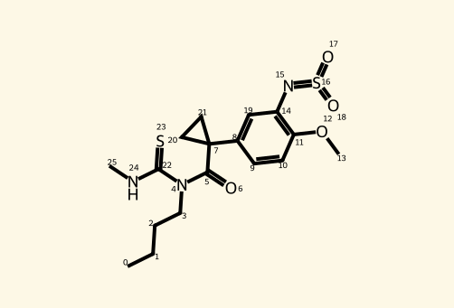 CCCCN(C(=O)C1(c2ccc(OC)c(N=S(=O)=O)c2)CC1)C(=S)NC